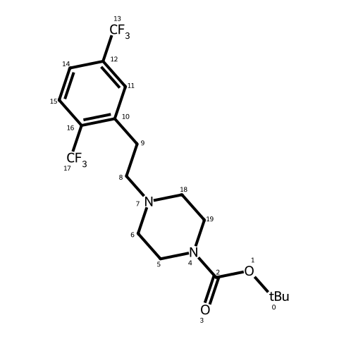 CC(C)(C)OC(=O)N1CCN(CCc2cc(C(F)(F)F)ccc2C(F)(F)F)CC1